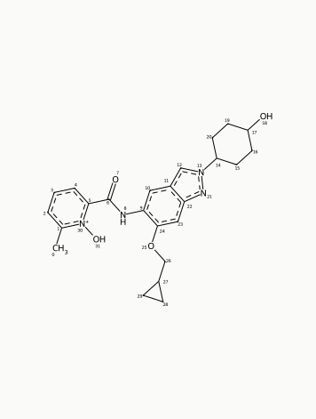 Cc1cccc(C(=O)Nc2cc3cn(C4CCC(O)CC4)nc3cc2OCC2CC2)[n+]1O